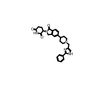 O=C1CCC(N2Cc3cc(C4CCN(Cc5c[nH]c(-c6ccccc6)n5)CC4)ccc3C2=O)C(=O)N1